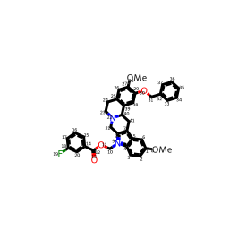 COc1ccc2c(c1)c1c(n2COC(=O)c2cccc(F)c2)CN2CCc3cc(OC)c(OCc4ccccc4)cc3C2C1